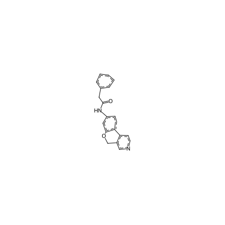 O=C(Cc1ccccc1)Nc1ccc2c(c1)OCc1cnccc1-2